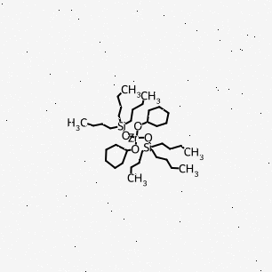 CCCC[Si](CCCC)(CCCC)[O][Zr]([O]C1CCCCC1)([O]C1CCCCC1)[O][Si](CCCC)(CCCC)CCCC